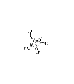 O=C1O[C@H](CO)[C@@H](O)[C@@H]1F